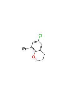 CC(C)c1cc(Cl)cc2c1OCCC2